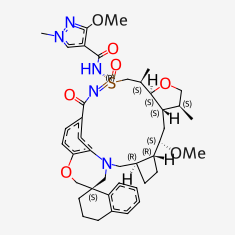 COc1nn(C)cc1C(=O)N[S@@]1(=O)=NC(=O)c2ccc3c(c2)N(C[C@@H]2CC[C@H]2[C@@H](OC)C[C@@H]2[C@H](OC[C@H]2C)[C@H](C)C1)C[C@@]1(CCCc2ccccc21)CO3